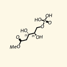 COC(=O)C[C@H](O)[C@H](O)COP(=O)(O)O